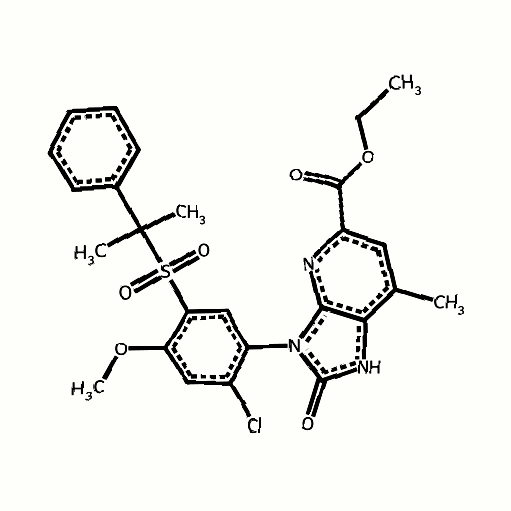 CCOC(=O)c1cc(C)c2[nH]c(=O)n(-c3cc(S(=O)(=O)C(C)(C)c4ccccc4)c(OC)cc3Cl)c2n1